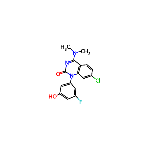 CN(C)c1nc(=O)n(-c2cc(O)cc(F)c2)c2cc(Cl)ccc12